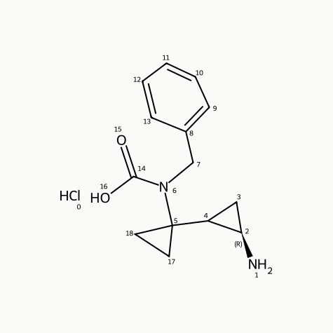 Cl.N[C@@H]1CC1C1(N(Cc2ccccc2)C(=O)O)CC1